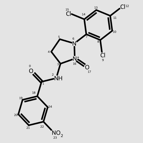 O=C(NC1CCN(c2c(Cl)cc(Cl)cc2Cl)[N+]1=O)c1cccc([N+](=O)[O-])c1